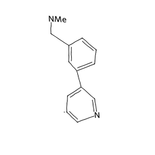 CNCc1cccc(-c2c[c]cnc2)c1